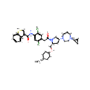 O=C(Nc1cc(Cl)c(CC(=O)N2C[C@@H](N3CCCN(C4CC4)CC3)C[C@H]2CO[C@H]2CC[C@H](C(=O)O)CC2)cc1Cl)c1csc2ccccc12